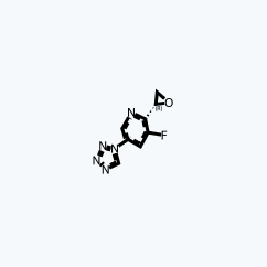 Fc1cc(-n2cnnn2)cnc1[C@@H]1CO1